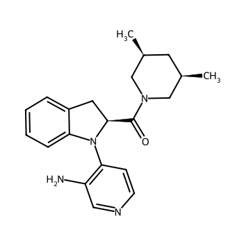 C[C@@H]1C[C@H](C)CN(C(=O)[C@@H]2Cc3ccccc3N2c2ccncc2N)C1